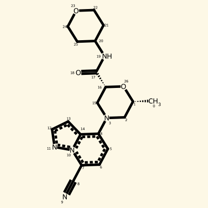 C[C@@H]1CN(c2ccc(C#N)n3nccc23)C[C@H](C(=O)NC2CCOCC2)O1